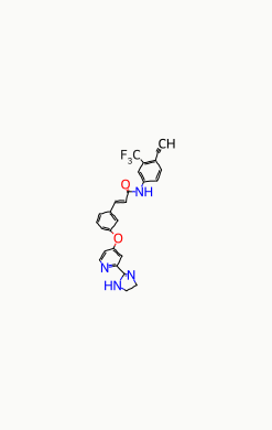 C#Cc1ccc(NC(=O)/C=C/c2cccc(Oc3ccnc(C4=NCCN4)c3)c2)cc1C(F)(F)F